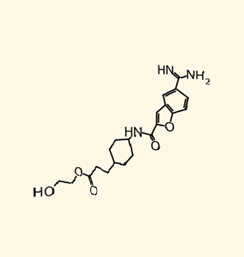 N=C(N)c1ccc2oc(C(=O)NC3CCC(CCC(=O)OCCO)CC3)cc2c1